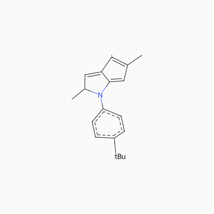 CC1=[C]C2=CC(C)N(c3ccc(C(C)(C)C)cc3)C2=C1